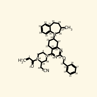 C=CC(=O)N1CCN(c2nc(OCc3ccccc3)nc3c2CCC(N2CC(C)CCc4ccccc42)C3)CC1CC#N